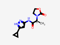 C[C@@H](C(=O)Nc1cc(C2CC2)[nH]n1)N1CCOC1=O